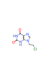 O=c1[nH]c(=O)c2ncn(CCCl)c2[nH]1